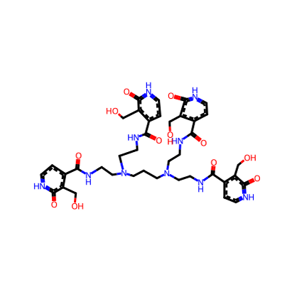 O=C(NCCN(CCCN(CCNC(=O)c1cc[nH]c(=O)c1CO)CCNC(=O)c1cc[nH]c(=O)c1CO)CCNC(=O)c1cc[nH]c(=O)c1CO)c1cc[nH]c(=O)c1CO